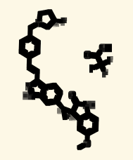 COc1ccc2c(c1)[C@]1(C[C@H]1c1ccc3c(C=Cc4ccc(CN5CC[C@@H](F)C5)cc4)n[nH]c3c1)C(=O)N2.O=C(O)C(F)(F)F